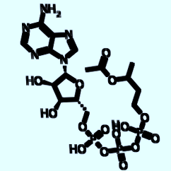 CC(=O)OC(C)CCOP(=O)(O)OP(=O)(O)OP(=O)(O)OC[C@H]1O[C@@H](n2cnc3c(N)ncnc32)[C@H](O)[C@@H]1O